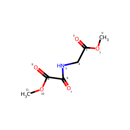 COC(=O)CNC(=O)C(=O)OC